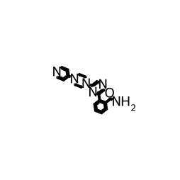 NC(=O)c1ccccc1-c1cncc(N2CCN(c3ccncc3)CC2)n1